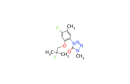 Cc1cc(-n2nnn(C)c2=O)c(OCC(C)(C)F)cc1F